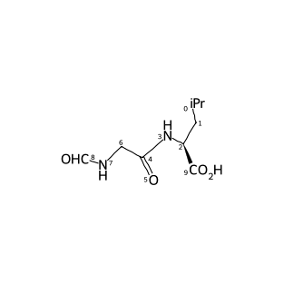 CC(C)C[C@H](NC(=O)CNC=O)C(=O)O